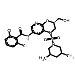 CC1CC(C)CN(S(=O)(=O)N2C[C@H](CO)Oc3ncc(NC(=O)c4c(Cl)cccc4Cl)cc32)C1